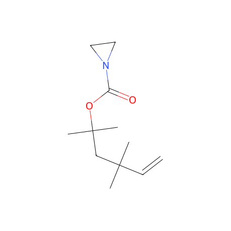 C=CC(C)(C)CC(C)(C)OC(=O)N1CC1